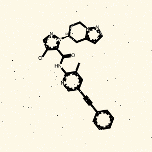 Cc1cc(C#Cc2ccccc2)cnc1NC(=O)c1c(Cl)cnn1[C@H]1CCn2nccc2C1